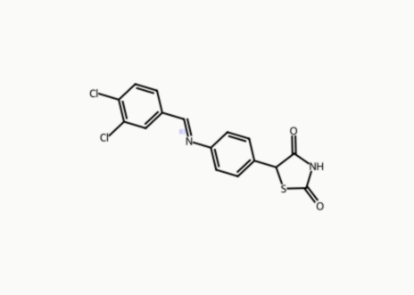 O=C1NC(=O)C(c2ccc(/N=C/c3ccc(Cl)c(Cl)c3)cc2)S1